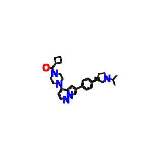 CC(C)N1CC[C@H](c2ccc(-c3cc4c(N5CCN(C(=O)C6CCC6)CC5)ccnn4c3)cc2)C1